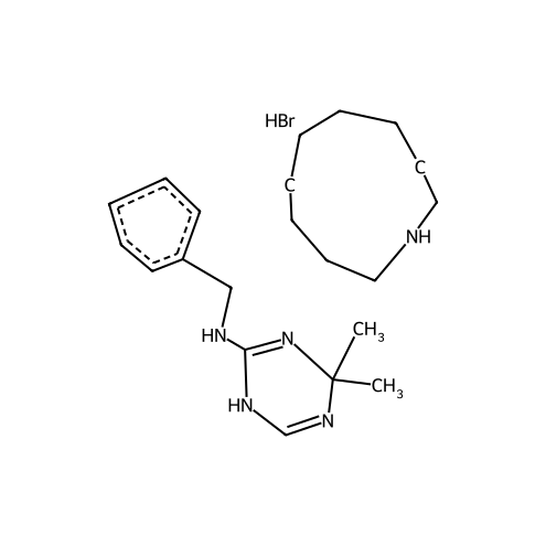 Br.C1CCCCNCCCC1.CC1(C)N=CNC(NCc2ccccc2)=N1